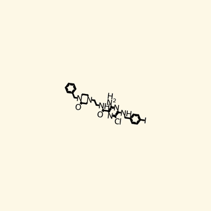 Nc1nc(NCc2ccc(I)cc2)c(Cl)nc1C(=O)NCCN1CCN(Cc2ccccc2)C(=O)C1